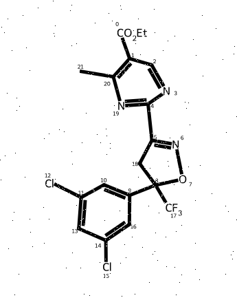 CCOC(=O)c1cnc(C2=NOC(c3cc(Cl)cc(Cl)c3)(C(F)(F)F)C2)nc1C